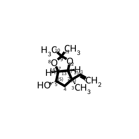 C=C[C@@]1(C)C[C@H](O)[C@@H]2OC(C)(C)O[C@@H]21